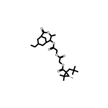 CCC1CC2CC(C1)C(OC(=O)COC(=O)COC(=O)C1(CC(C)(C)C)[C@H](C)C1(C)C)C(C)OC2=O